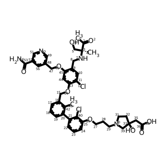 CC(=O)[C@](C)(CO)NCc1cc(Cl)c(OCc2cccc(-c3cccc(OCCCN4CCC(O)(CC(=O)O)C4)c3Cl)c2C)cc1OCc1cncc(C(N)=O)c1